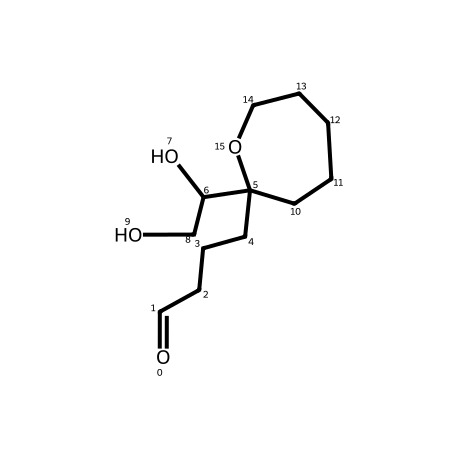 O=CCCCC1(C(O)CO)CCCCCO1